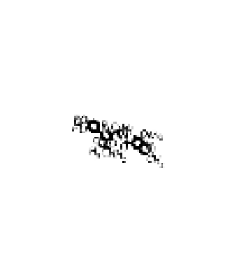 COc1cc(C(=O)NC[C@](O)(c2cc3c(c(-c4ccc5c(c4)OC(F)(F)O5)n2)OC[C@]3(C)C(N)=O)C(F)(F)F)cc2cc(C)nnc12